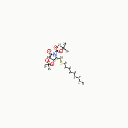 CCCCCCCCCSCC1C2OC(C)(C)OC2C(=O)N1C(=O)OC(C)(C)C